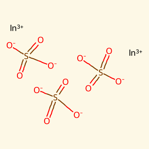 O=S(=O)([O-])[O-].O=S(=O)([O-])[O-].O=S(=O)([O-])[O-].[In+3].[In+3]